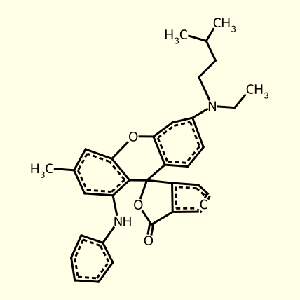 CCN(CCC(C)C)c1ccc2c(c1)Oc1cc(C)cc(Nc3ccccc3)c1C21OC(=O)c2ccccc21